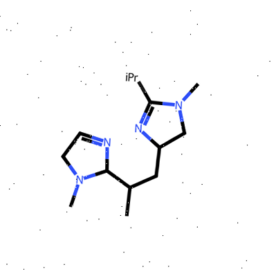 CC(C)C1=NC(CC(C)C2N=CCN2C)CN1C